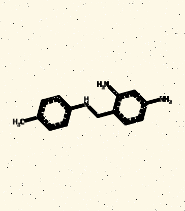 Cc1ccc(NCc2ccc(N)cc2N)cc1